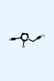 C#CCn1ccc(C#N)c1Br